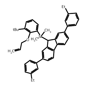 C=CCOc1c(C(C)(C)C)cccc1[Si](C)(C)C1c2cc(-c3cccc(CC)c3)ccc2-c2ccc(-c3cccc(CC)c3)cc21